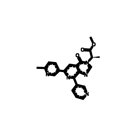 COC(=O)[C@H](C)n1cnc2c(-c3cccnc3)nc(-c3ccc(C)nc3)cc2c1=O